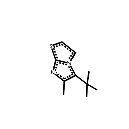 Cc1nc2sccn2c1C(C)(C)C